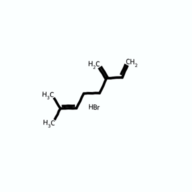 Br.C=CC(=C)CCC=C(C)C